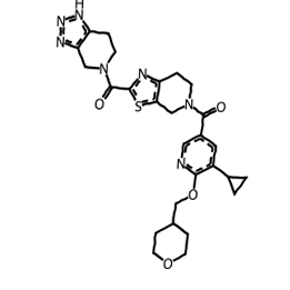 O=C(c1cnc(OCC2CCOCC2)c(C2CC2)c1)N1CCc2nc(C(=O)N3CCc4[nH]nnc4C3)sc2C1